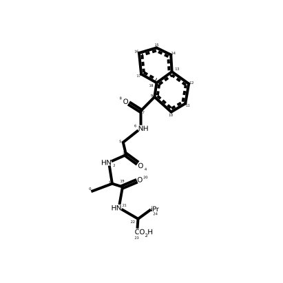 CC(NC(=O)CNC(=O)c1cccc2ccccc12)C(=O)NC(C(=O)O)C(C)C